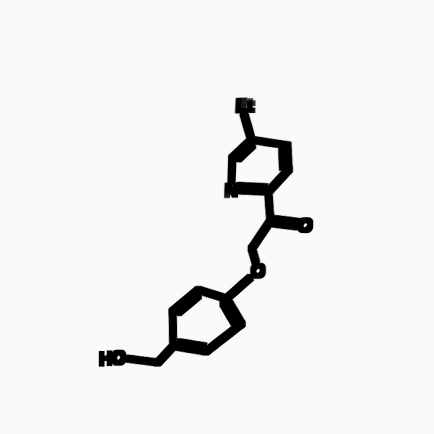 CCc1ccc(C(=O)COc2ccc(CO)cc2)nc1